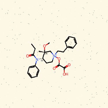 CCC(=O)N(c1ccccc1)[C@H]1CC[N+](CCc2ccccc2)(OC(=O)C(=O)O)C[C@@]1(C)OC